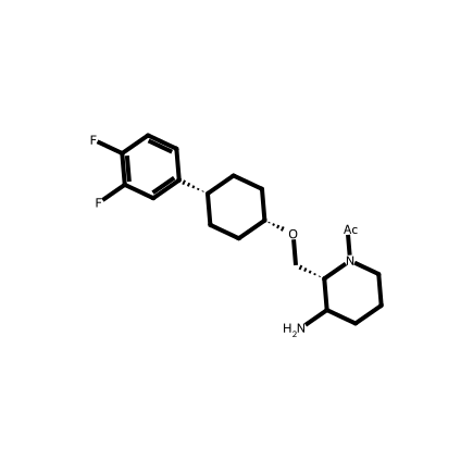 CC(=O)N1CCCC(N)[C@@H]1CO[C@H]1CC[C@@H](c2ccc(F)c(F)c2)CC1